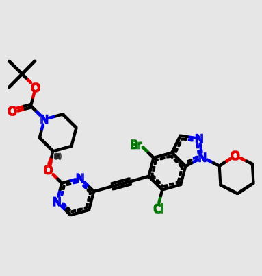 CC(C)(C)OC(=O)N1CCC[C@@H](Oc2nccc(C#Cc3c(Cl)cc4c(cnn4C4CCCCO4)c3Br)n2)C1